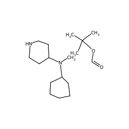 CC(C)(C)OC=O.CN(C1CCCCC1)C1CCNCC1